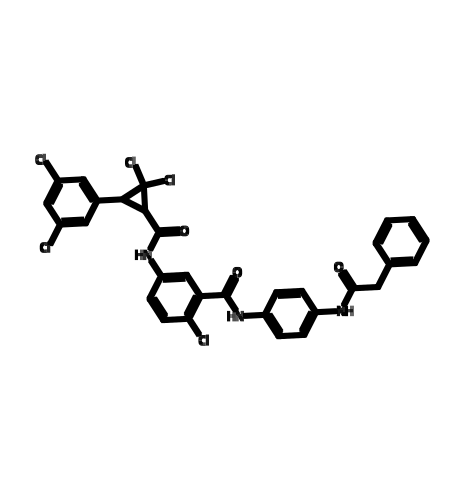 O=C(Cc1ccccc1)Nc1ccc(NC(=O)c2cc(NC(=O)C3C(c4cc(Cl)cc(Cl)c4)C3(Cl)Cl)ccc2Cl)cc1